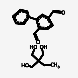 CCC(CO)(CO)CO.O=Cc1ccc(C=O)c(-c2ccccc2)c1